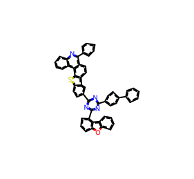 c1ccc(-c2ccc(-c3nc(-c4ccc5sc6c(ccc7c(-c8ccccc8)nc8ccccc8c76)c5c4)nc(-c4cccc5oc6ccccc6c45)n3)cc2)cc1